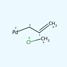 C=C[CH2][Pd].CCl